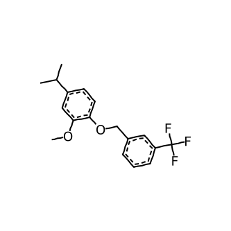 COc1cc(C(C)C)ccc1OCc1cccc(C(F)(F)F)c1